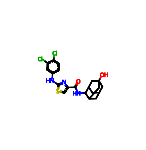 O=C(NC1C2CC3CC1CC(O)(C3)C2)c1csc(Nc2ccc(Cl)c(Cl)c2)n1